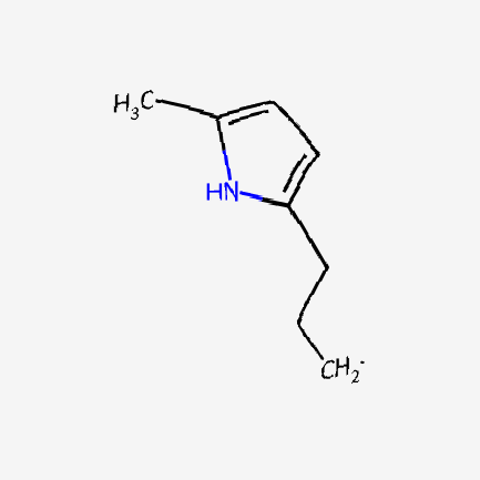 [CH2]CCc1ccc(C)[nH]1